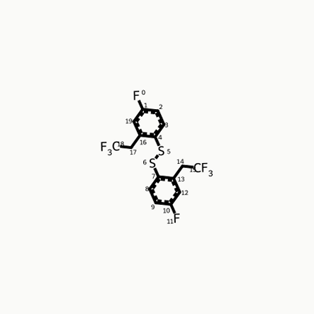 Fc1ccc(SSc2ccc(F)cc2CC(F)(F)F)c(CC(F)(F)F)c1